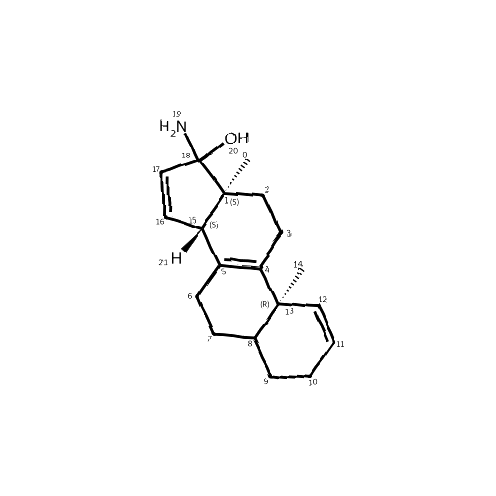 C[C@]12CCC3=C(CCC4CCC=C[C@]34C)[C@@H]1C=CC2(N)O